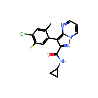 Cc1cc(Cl)c(F)cc1-c1c(C(=O)NC2CC2)nn2cccnc12